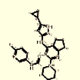 O=C(Nc1ccc(F)nc1)[C@H]1CCCCN1c1nc2c(c(Nc3cc(C4CC4)[nH]n3)n1)CCC2